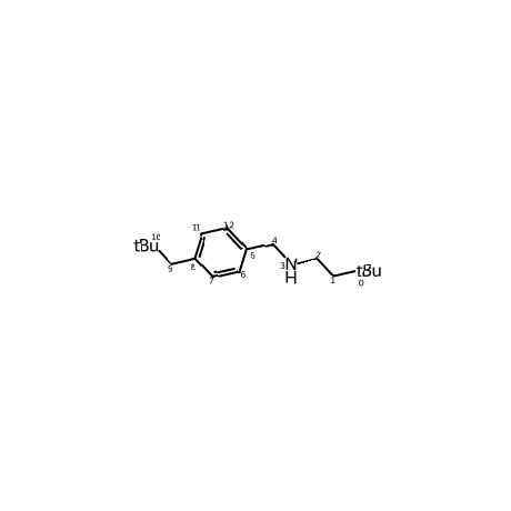 CC(C)(C)CCNCc1ccc(CC(C)(C)C)cc1